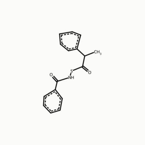 CC(C(=O)SNC(=O)c1ccccc1)c1ccccc1